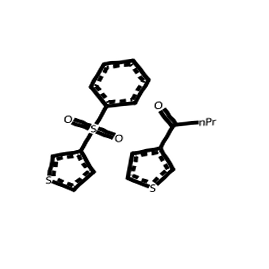 CCCC(=O)c1ccsc1.O=S(=O)(c1ccccc1)c1ccsc1